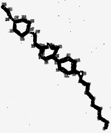 CCCCCCCCCOc1ccc(-c2cnc(CC[C@H]3CC[C@H](CCC)CC3)nc2)cc1